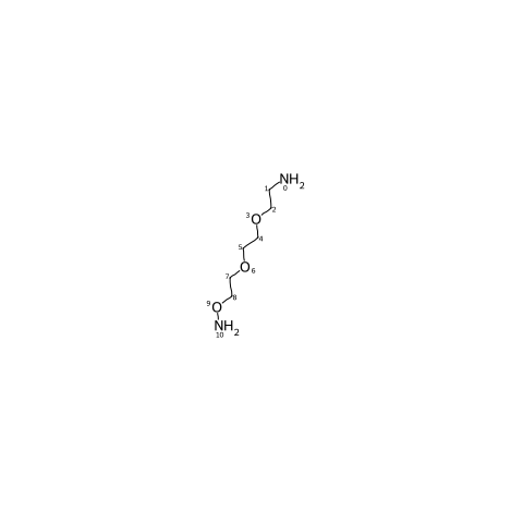 NCCOCCOCCON